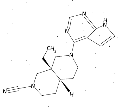 CC[C@]12CN(C#N)CC[C@H]1CCN(c1ncnc3[nH]ccc13)C2